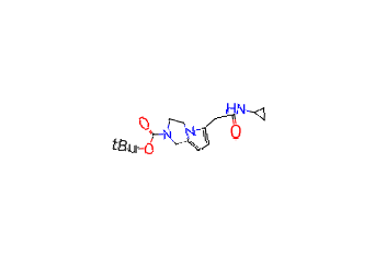 CC(C)(C)OC(=O)N1CCn2c(CC(=O)NC3CC3)ccc2C1